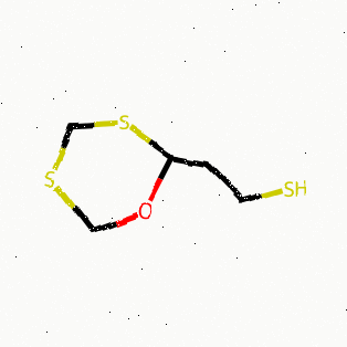 SCCC1OCSCS1